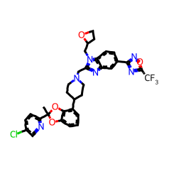 CC1(c2ccc(Cl)cn2)Oc2cccc(C3CCN(Cc4nc5cc(-c6noc(C(F)(F)F)n6)ccc5n4CC4CCO4)CC3)c2O1